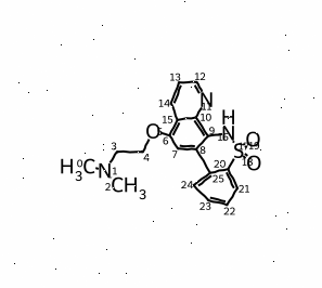 CN(C)CCOc1cc2c(c3ncccc13)NS(=O)(=O)c1ccccc1-2